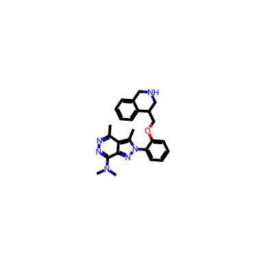 Cc1nnc(N(C)C)c2nn(-c3ccccc3OCC3CNCc4ccccc43)c(C)c12